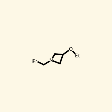 CCOC1CN(CC(C)C)C1